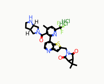 Cc1cc(C(F)(F)F)nc(-c2ccnc3cc(CN4C(=O)C5C(C4=O)C5(C)C)sc23)c1C(=O)N1C[C@H]2CCN[C@H]2C1.Cl.Cl